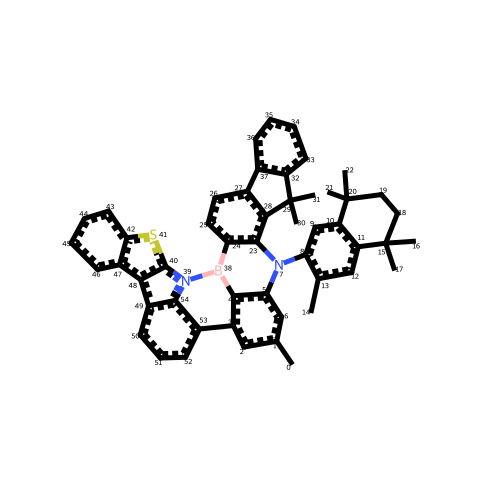 Cc1cc2c3c(c1)N(c1cc4c(cc1C)C(C)(C)CCC4(C)C)c1c(ccc4c1C(C)(C)c1ccccc1-4)B3n1c3sc4ccccc4c3c3cccc-2c31